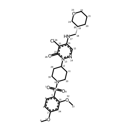 COc1ccc(S(=O)(=O)N2CCC(n3ncc(NC[C@H]4CCCOC4)c(Cl)c3=O)CC2)c(OC)c1